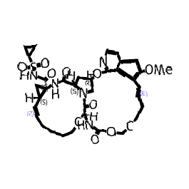 COc1cc2ccnc3c2cc1/C=C/CCCCOC(=O)N[C@H]1CCCCC/C=C\[C@@H]2C[C@@]2(C(=O)NS(=O)(=O)C2CC2)NC(=O)[C@@H]2C[C@H](CN2C1=O)O3